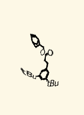 CC(C)(C)c1cc(CCC(=O)OCC2CC3C=CC2C3)cc(C(C)(C)C)c1